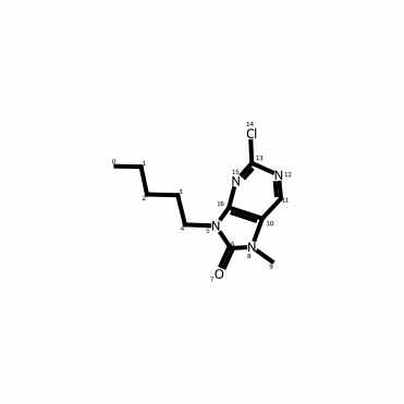 CCCCCn1c(=O)n(C)c2cnc(Cl)nc21